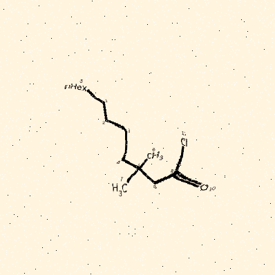 CCCCCCCCCCC(C)(C)CC(=O)Cl